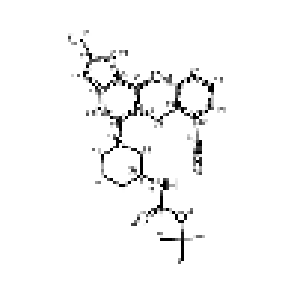 CC(C)(C)OC(=O)N[C@H]1CCCN(c2nc3cc(Cl)sc3c(=O)n2Cc2ccccc2C#N)C1